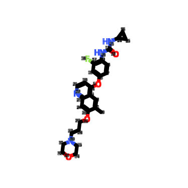 Cc1cc2c(Oc3ccc(NC(=O)NC4CC4)c(F)c3)ccnc2cc1OCCCN1CCOCC1